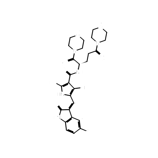 Cc1[nH]c(/C=C2\C(=O)Nc3ccc(F)cc32)c(C)c1C(=O)N[C@H](CCC(=O)N1CCOCC1)C(=O)N1CCOCC1